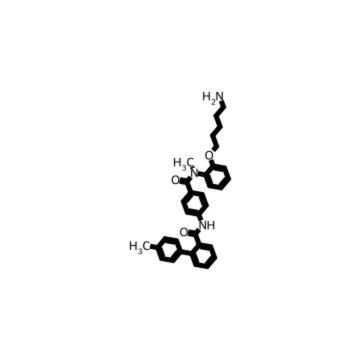 Cc1ccc(-c2ccccc2C(=O)Nc2ccc(C(=O)N(C)c3ccccc3OCCCCCN)cc2)cc1